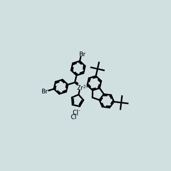 CC(C)(C)c1ccc2c(c1)-c1cc(C(C)(C)C)c[c]([Zr+2](=[C](c3ccc(Br)cc3)c3ccc(Br)cc3)[CH]3C=CC=C3)c1C2.[Cl-].[Cl-]